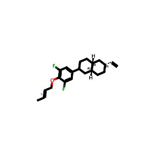 C=C[C@@H]1CC[C@@H]2CC(c3cc(F)c(OC/C=C/C)c(F)c3)CC[C@@H]2C1